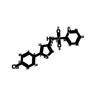 O=S(=O)(Nc1csc(-c2ccc(Cl)cc2)c1)c1ccccn1